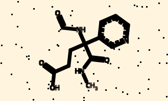 CNC(=O)C(CCC(=O)O)(NC=O)c1cccnc1